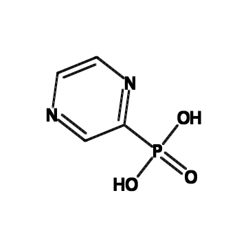 O=P(O)(O)c1cnccn1